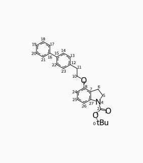 CC(C)(C)OC(=O)N1CCc2c(OCCc3ccc(-c4ccccc4)cc3)cccc21